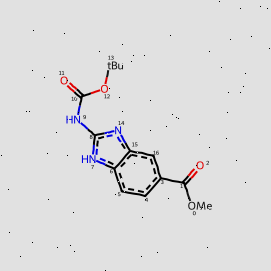 COC(=O)c1ccc2[nH]c(NC(=O)OC(C)(C)C)nc2c1